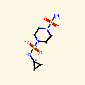 NS(=O)(=O)N1CCN(S(=O)(=O)NC2CC2)CC1